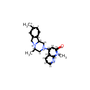 Cc1ccc2c(c1)CN1C(C)CN(c3cc(=O)n(C)c4ncccc34)CC21